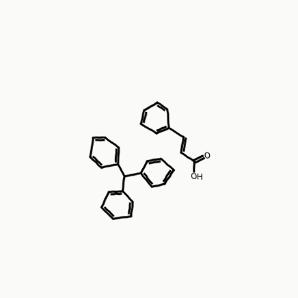 O=C(O)C=Cc1ccccc1.c1ccc(C(c2ccccc2)c2ccccc2)cc1